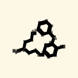 CN(CCO)CCO.Clc1ccccc1[I+]c1ccccc1